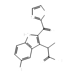 CC(C(=O)O)c1c(C(=O)c2nccs2)[nH]c2ccc(Cl)cc12